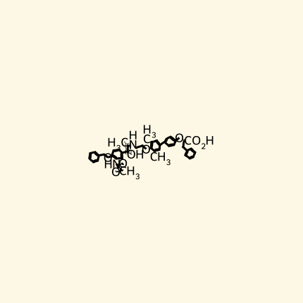 Cc1cc(-c2ccc(OC(Cc3ccccc3)C(=O)O)cc2)cc(C)c1OCCN[C@@H](C)[C@H](O)c1ccc(OCc2ccccc2)c(NS(C)(=O)=O)c1